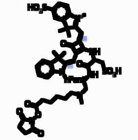 CCCCCN1/C(=C/C2=C(NC(CS(=O)(=O)O)C(=O)NCCN(C)CCCCCC(=O)ON3C(=O)CCC3=O)C(=C/C3=[N+](C)c4ccc(S(=O)(=O)O)cc4C3(C)C)/C2=O)C(C)(C)c2ccccc21